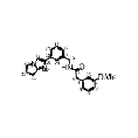 COc1cccc(CC(=O)NCc2cccc(-c3cn4c(n3)CCC4)c2)c1